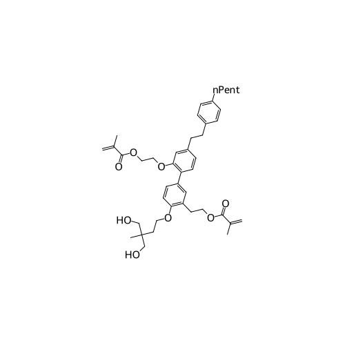 C=C(C)C(=O)OCCOc1cc(CCc2ccc(CCCCC)cc2)ccc1-c1ccc(OCCC(C)(CO)CO)c(CCOC(=O)C(=C)C)c1